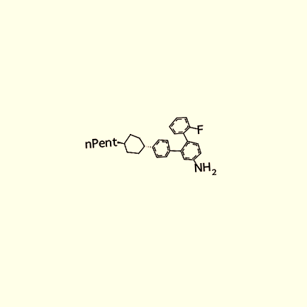 CCCCC[C@H]1CC[C@H](c2ccc(-c3cc(N)ccc3-c3ccccc3F)cc2)CC1